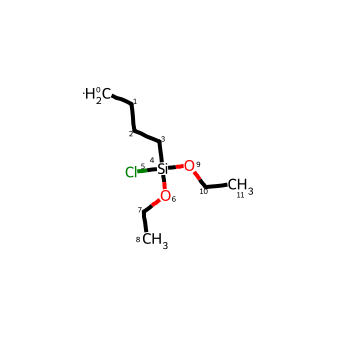 [CH2]CCC[Si](Cl)(OCC)OCC